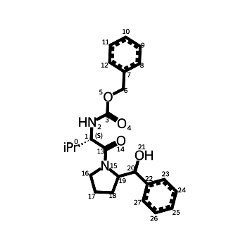 CC(C)[C@H](NC(=O)OCc1ccccc1)C(=O)N1CCCC1C(O)c1ccccc1